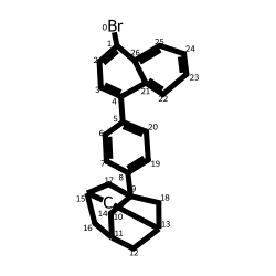 Brc1ccc(-c2ccc(C34CC5CC(CC(C5)C3)C4)cc2)c2ccccc12